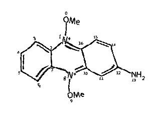 CO[n+]1c2ccccc2[n+](OC)c2cc(N)ccc21